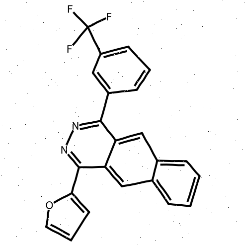 FC(F)(F)c1cccc(-c2nnc(-c3ccco3)c3cc4ccccc4cc23)c1